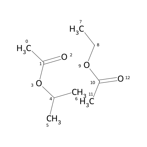 CC(=O)OC(C)C.CCOC(C)=O